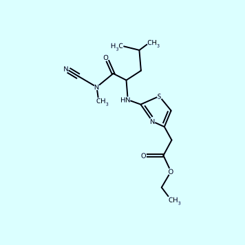 CCOC(=O)Cc1csc(NC(CC(C)C)C(=O)N(C)C#N)n1